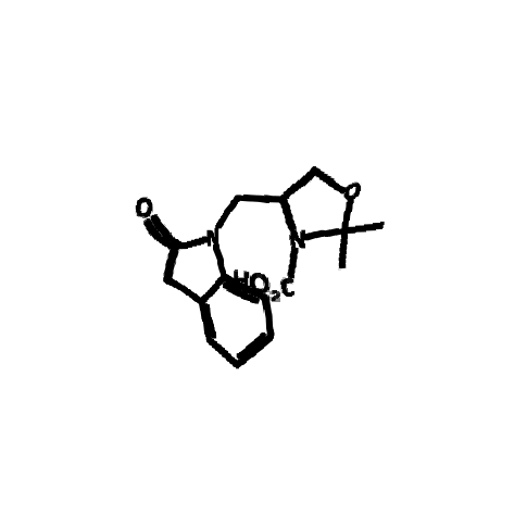 CC1(C)OCC(CN2C(=O)Cc3ccccc32)N1C(=O)O